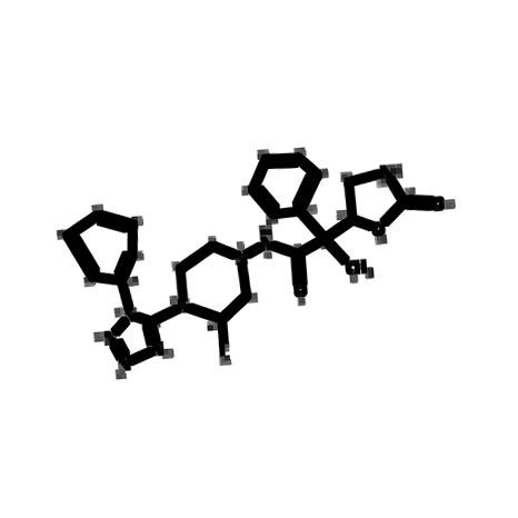 CC(C(=O)NN1CCN(c2nnnn2-c2ccccc2)C(F)C1)(c1ccccc1)C1CNC(=O)O1